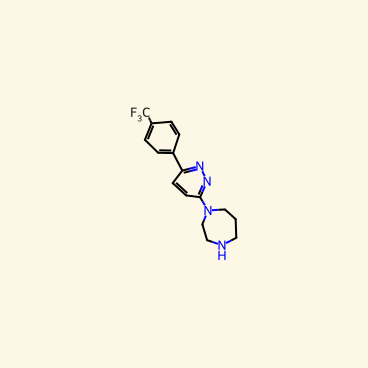 FC(F)(F)c1ccc(-c2ccc(N3CCCNCC3)nn2)cc1